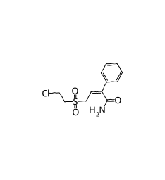 NC(=O)C(=CCS(=O)(=O)CCCl)c1ccccc1